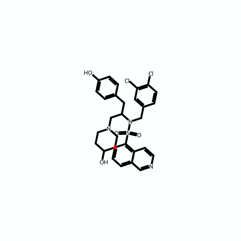 O=S(=O)(c1cccc2cnccc12)N(Cc1ccc(Cl)c(Cl)c1)C(Cc1ccc(O)cc1)CN1CCC(O)CC1